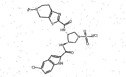 CC(C)N1CCc2nc(C(=O)N[C@@H]3CN(S(C)(=O)=O)C[C@H]3NC(=O)c3cc4cc(Cl)ccc4[nH]3)sc2C1.Cl